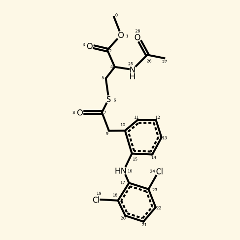 COC(=O)C(CSC(=O)Cc1ccccc1Nc1c(Cl)cccc1Cl)NC(C)=O